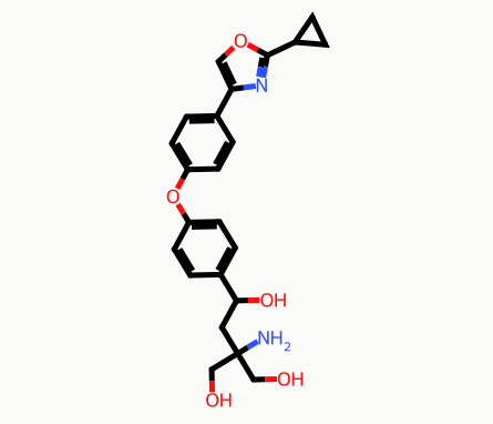 NC(CO)(CO)CC(O)c1ccc(Oc2ccc(-c3coc(C4CC4)n3)cc2)cc1